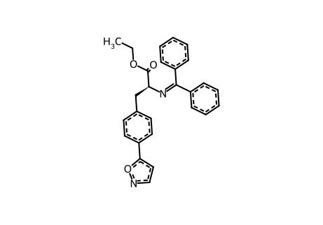 CCOC(=O)[C@H](Cc1ccc(-c2ccno2)cc1)N=C(c1ccccc1)c1ccccc1